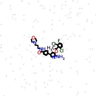 CC(Oc1cc(-c2ccc(C(=O)NCCCN3CCOCC3)cc2)cnc1N)c1c(Cl)ccc(F)c1Cl